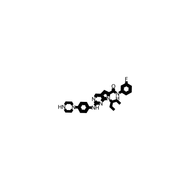 CCC(CC)n1c(C(=O)Nc2cccc(F)c2)cc2cnc(Nc3ccc(N4CCNCC4)cc3)nc21